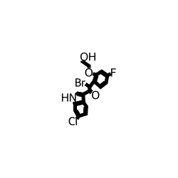 O=C(c1c[nH]c2cc(Cl)ccc12)C(Br)c1ccc(F)cc1OCCO